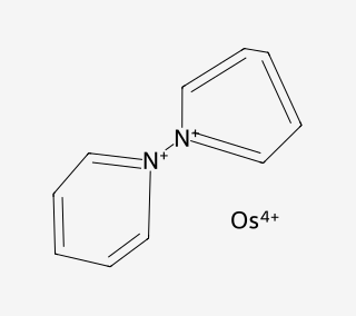 [Os+4].c1cc[n+](-[n+]2ccccc2)cc1